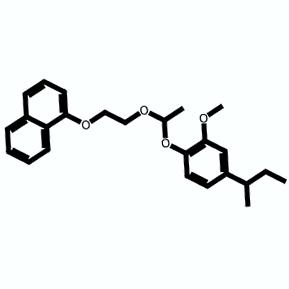 CCC(C)c1ccc(OC(C)OCCOc2cccc3ccccc23)c(OC)c1